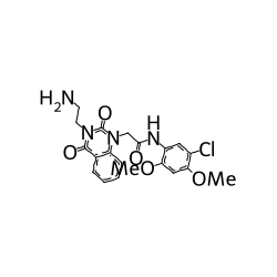 COc1cc(OC)c(NC(=O)Cn2c(=O)n(CCN)c(=O)c3ccccc32)cc1Cl